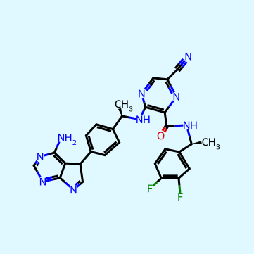 C[C@H](NC(=O)c1nc(C#N)cnc1N[C@H](C)c1ccc(C2C=Nc3ncnc(N)c32)cc1)c1ccc(F)c(F)c1